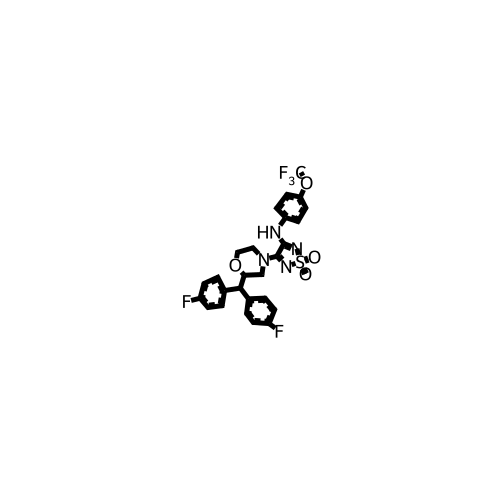 O=S1(=O)N=C(Nc2ccc(OC(F)(F)F)cc2)C(N2CCOC(C(c3ccc(F)cc3)c3ccc(F)cc3)C2)=N1